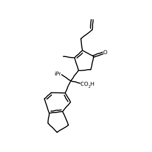 C=CCC1=C(C)C(C(C(=O)O)(c2ccc3c(c2)CCC3)C(C)C)CC1=O